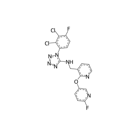 Fc1ccc(Oc2ncccc2CNc2nnnn2-c2ccc(F)c(Cl)c2Cl)cn1